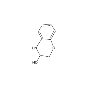 OC1COc2ccccc2N1